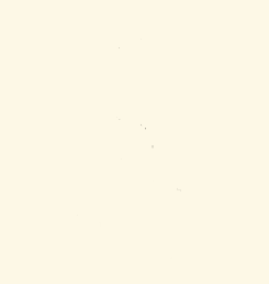 O=C(N[C@](Cc1ccccc1)(c1cc(F)cc(C(F)(F)F)c1)c1ccc(Cl)cn1)C1CCC(F)(F)C1